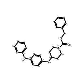 O=C(OCc1ccccc1)N1CC[C](Sc2ccc(Oc3ccccc3)cc2)CC1